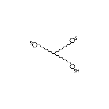 SC1CCC(CCCCCCCCC(CCCCCCCCC2CCC3SC3C2)CCCCCCCCC2CCC3SC3C2)CC1